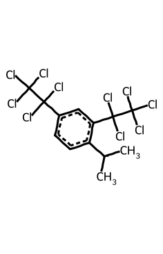 C[C](C)c1ccc(C(Cl)(Cl)C(Cl)(Cl)Cl)cc1C(Cl)(Cl)C(Cl)(Cl)Cl